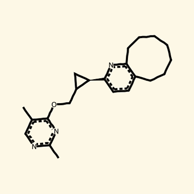 Cc1ncc(C)c(OCC2C[C@H]2c2ccc3c(n2)CCCCCCC3)n1